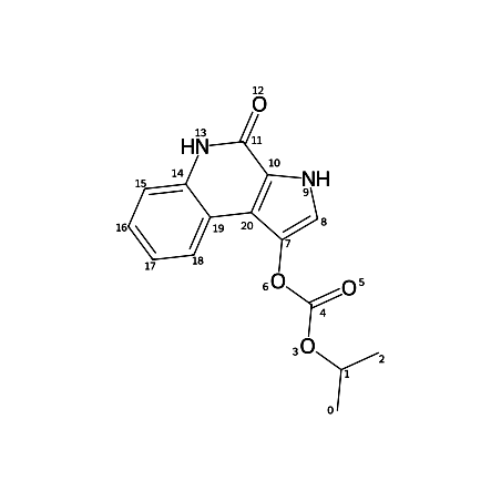 CC(C)OC(=O)Oc1c[nH]c2c(=O)[nH]c3ccccc3c12